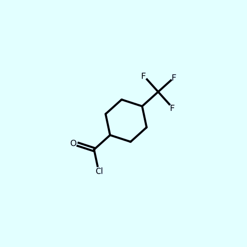 O=C(Cl)C1CCC(C(F)(F)F)CC1